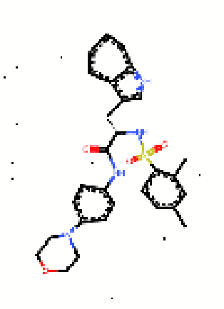 Cc1ccc(S(=O)(=O)N[C@@H](Cc2c[nH]c3ccccc23)C(=O)Nc2ccc(N3CCOCC3)cc2)c(C)c1